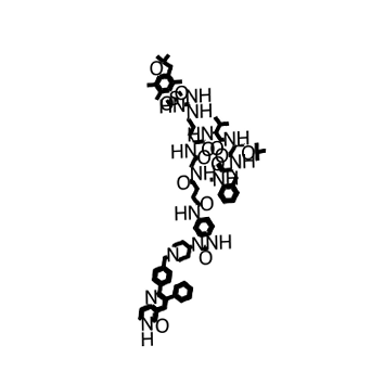 CNC(=O)[C@H](Cc1ccccc1)NC(=O)[C@H](COC(C)(C)C)NC(=O)[C@@H](NC(=O)[C@H](CCCNC(=N)NS(=O)(=O)c1c(C)c(C)c2c(c1C)CC(C)(C)O2)NC(=O)CNC(=O)CCC(=O)Nc1ccc2[nH]c(=O)n(C3CCN(Cc4ccc(-c5nc6cc[nH]c(=O)c6cc5-c5ccccc5)cc4)CC3)c2c1)C(C)C